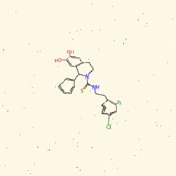 Oc1cc2c(cc1O)C(c1ccccc1)N(C(=S)NCCc1ccc(Cl)cc1Cl)CC2